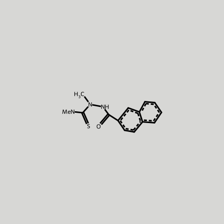 CNC(=S)N(C)NC(=O)c1ccc2ccccc2c1